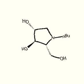 CCCCN1C[C@@H](O)[C@H](O)[C@H]1CO